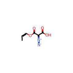 C/C=C\OC(=O)C(=[N+]=[N-])C(=O)O